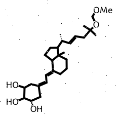 COCOC(C)(C)C/C=C/[C@@H](C)C1CCC2/C(=C/C=C3\CC(O)C(O)[C@H](O)C3)CCCC21C